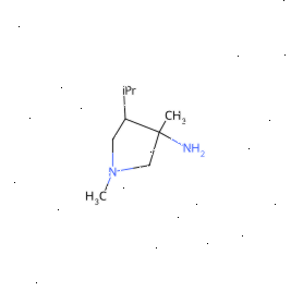 CC(C)C1CN(C)CC1(C)N